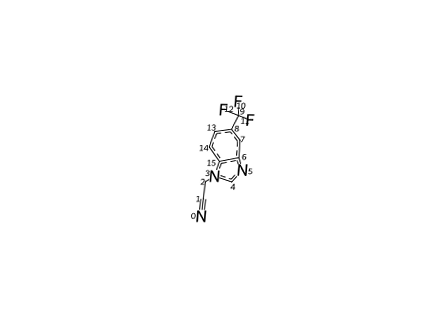 N#CCn1cnc2cc(C(F)(F)F)ccc21